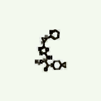 C[C@@H](Nc1nnc([C@H]2C[C@H]2c2ccccn2)o1)C(=O)N1CCC2(CC1)CC2